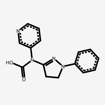 O=C(O)N(C1=NN(c2ccccc2)CC1)c1cccnc1